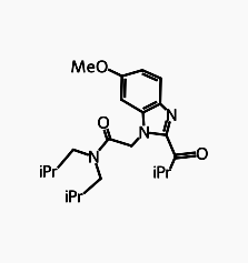 COc1ccc2nc(C(=O)C(C)C)n(CC(=O)N(CC(C)C)CC(C)C)c2c1